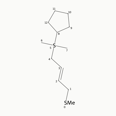 CSC/C=C/CS(C)(C)C1CCCC1